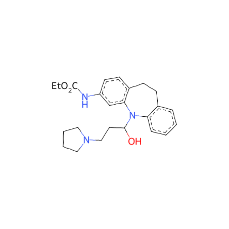 CCOC(=O)Nc1ccc2c(c1)N(C(O)CCN1CCCC1)c1ccccc1CC2